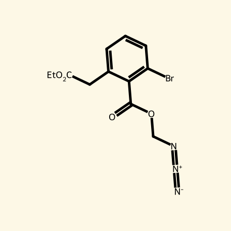 CCOC(=O)Cc1cccc(Br)c1C(=O)OCN=[N+]=[N-]